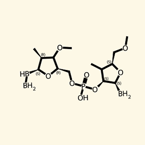 BB[C@@H]1O[C@H](COP(=O)(O)O[C@H]2C(C)[C@@H](COC)O[C@H]2B)C(OC)[C@@H]1C